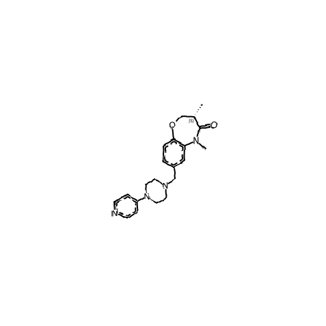 C[C@H]1COc2ccc(CN3CCN(c4ccncc4)CC3)cc2N(C)C1=O